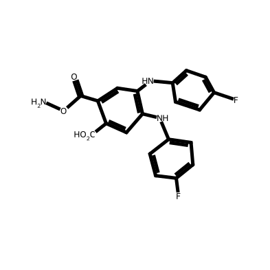 NOC(=O)c1cc(Nc2ccc(F)cc2)c(Nc2ccc(F)cc2)cc1C(=O)O